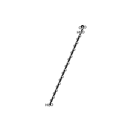 O=C(O)CCOCCOCCOCCOCCOCCOCCOCCOCCOCCOCCOCCOCCOCCOCCOCCOCCOCCOCCOCCOCCNC(=O)CCN1C(=O)C=CC1=O